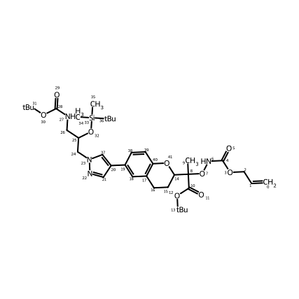 C=CCOC(=O)NOC(C)(C(=O)OC(C)(C)C)C1CCc2cc(-c3cnn(CC(CNC(=O)OC(C)(C)C)O[Si](C)(C)C(C)(C)C)c3)ccc2O1